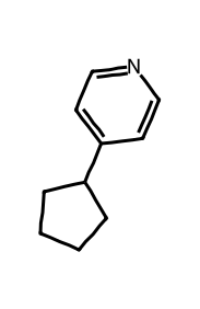 c1cc(C2CCCC2)ccn1